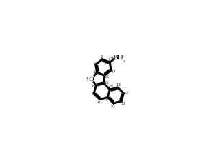 Bc1ccc2oc3ccc4ccccc4c3c2c1